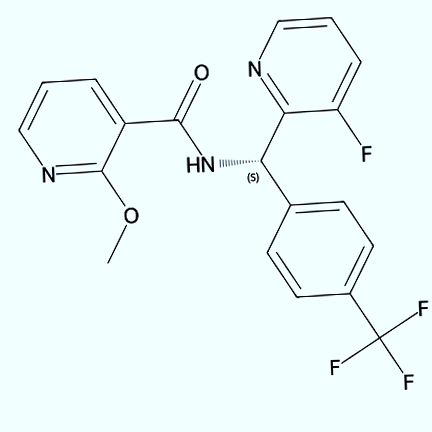 COc1ncccc1C(=O)N[C@@H](c1ccc(C(F)(F)F)cc1)c1ncccc1F